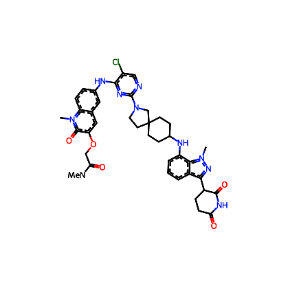 CNC(=O)COc1cc2cc(Nc3nc(N4CCC5(CCC(Nc6cccc7c(C8CCC(=O)NC8=O)nn(C)c67)CC5)C4)ncc3Cl)ccc2n(C)c1=O